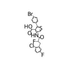 O=C(O)c1c(NC(=O)C(F)Cc2cc(F)ccc2Cl)csc1-c1ccc(Br)cc1